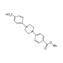 CC(C)(C)OC(=O)c1ccc(N2CCN(c3ccc(C(=O)O)cc3)CC2)cc1